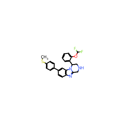 CSc1ccc(-c2ccc3nc4n(c3c2)C(c2ccccc2OC(F)F)CNC4)cc1